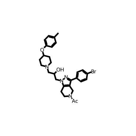 CC(=O)N1CCc2c(c(-c3ccc(Br)cc3)nn2CC(O)CN2CCC(Oc3ccc(C)cc3)CC2)C1